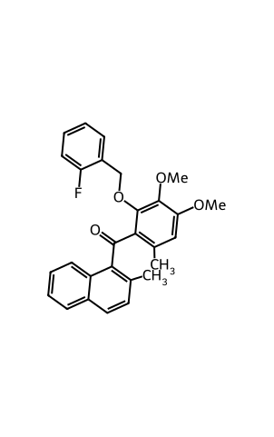 COc1cc(C)c(C(=O)c2c(C)ccc3ccccc23)c(OCc2ccccc2F)c1OC